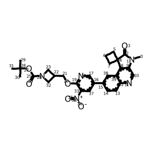 CN1C(=O)C2(CCC2)c2c1cnc1ccc(-c3cnc(OCC4CN(C(=O)OC(C)(C)C)C4)c([N+](=O)[O-])c3)cc21